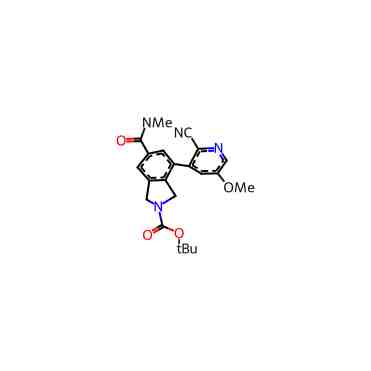 CNC(=O)c1cc2c(c(-c3cc(OC)cnc3C#N)c1)CN(C(=O)OC(C)(C)C)C2